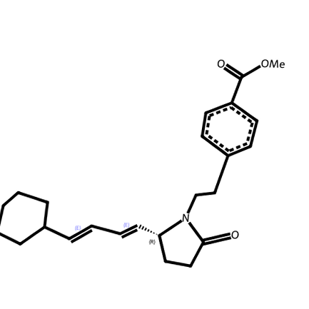 COC(=O)c1ccc(CCN2C(=O)CC[C@@H]2/C=C/C=C/C2CCCCC2)cc1